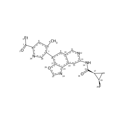 CCC(=O)c1cc(C)c(-c2cc3cnc(NC(=O)[C@H]4C[C@H]4F)cc3c3ncoc23)cn1